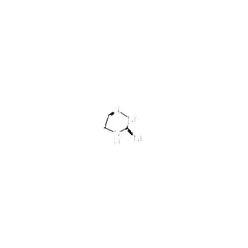 N=C1NCC=NN1